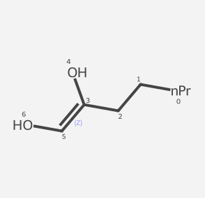 CCCCC/C(O)=C/O